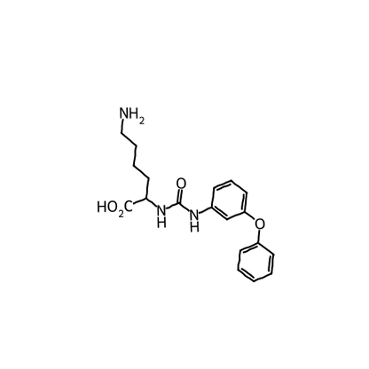 NCCCCC(NC(=O)Nc1cccc(Oc2ccccc2)c1)C(=O)O